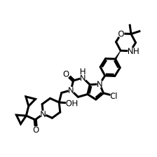 CC1(C)CN[C@@H](c2ccc(-n3c(Cl)cc4c3NC(=O)N(CC3(O)CCN(C(=O)C5(C6CC6)CC5)CC3)C4)cc2)CO1